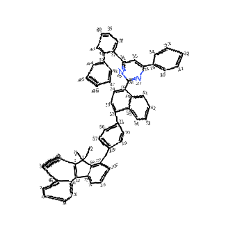 CC1(C)c2ccc3ccccc3c2-c2cccc(-c3ccc(-c4ccc(-c5nc(-c6ccccc6)cc(-c6ccccc6-c6ccccc6)n5)c5ccccc45)cc3)c21